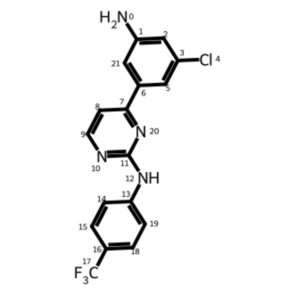 Nc1cc(Cl)cc(-c2ccnc(Nc3ccc(C(F)(F)F)cc3)n2)c1